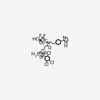 CN(CCc1ccc(C2=NCCN2)cc1)C(=O)CCCN(C)S(=O)(=O)c1cc(Cl)c(Cl)cc1Cl.O=C(O)C(F)(F)F